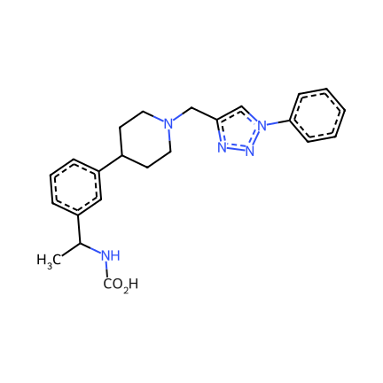 CC(NC(=O)O)c1cccc(C2CCN(Cc3cn(-c4ccccc4)nn3)CC2)c1